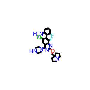 Nc1cccc(F)c1-c1c(Cl)cc2c(N3CCNCC3)nc(OCC34CCCN3CCC4)nc2c1F